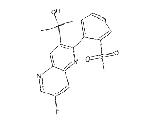 CC(C)(O)c1cc2ncc(F)cc2nc1-c1ccccc1S(C)(=O)=O